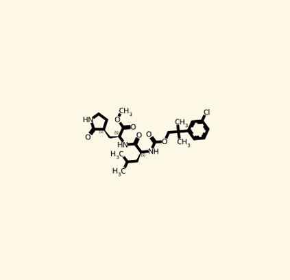 COC(=O)[C@H](C[C@@H]1CCNC1=O)NC(=O)[C@H](CC(C)C)NC(=O)OCC(C)(C)c1cccc(Cl)c1